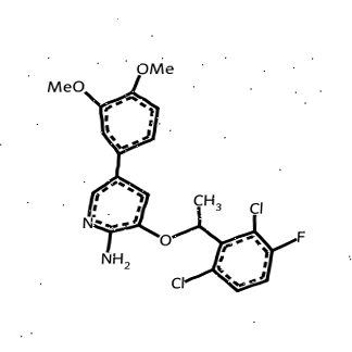 COc1ccc(-c2cnc(N)c(OC(C)c3c(Cl)ccc(F)c3Cl)c2)cc1OC